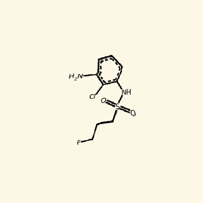 Nc1cccc(NS(=O)(=O)CCCF)c1Cl